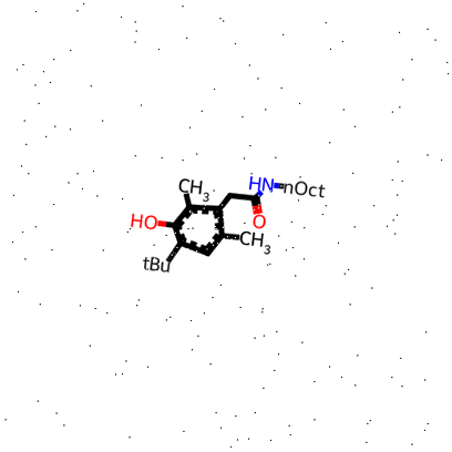 CCCCCCCCNC(=O)Cc1c(C)cc(C(C)(C)C)c(O)c1C